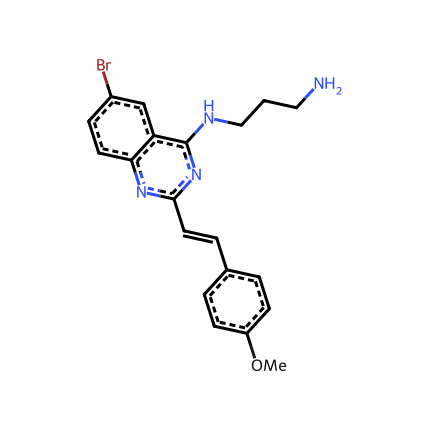 COc1ccc(/C=C/c2nc(NCCCN)c3cc(Br)ccc3n2)cc1